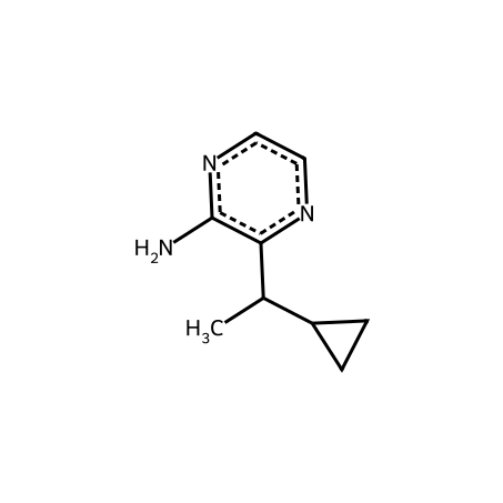 CC(c1nccnc1N)C1CC1